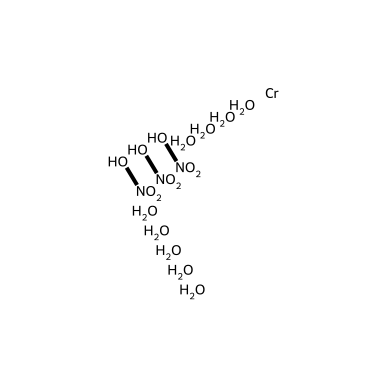 O.O.O.O.O.O.O.O.O.O=[N+]([O-])O.O=[N+]([O-])O.O=[N+]([O-])O.[Cr]